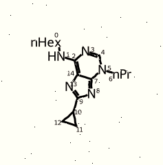 CCCCCCNc1ncn(CCC)c2nc(C3CC3)nc1-2